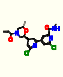 C=CC(=O)N1C[C@H](C)O[C@@H](c2cc(Cl)nc(-c3cc(Cl)nc(C(=O)NC)c3)c2)C1